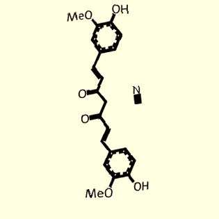 C#N.COc1cc(C=CC(=O)CC(=O)C=Cc2ccc(O)c(OC)c2)ccc1O